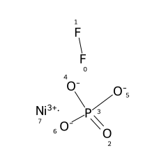 FF.O=P([O-])([O-])[O-].[Ni+3]